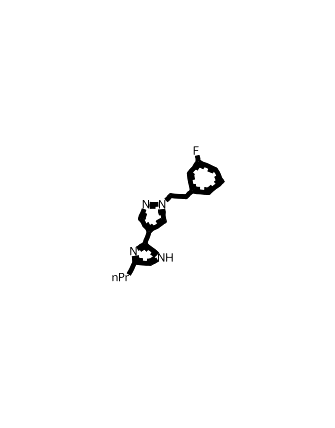 CCCc1c[nH]c(-c2cnn(CCc3cccc(F)c3)c2)n1